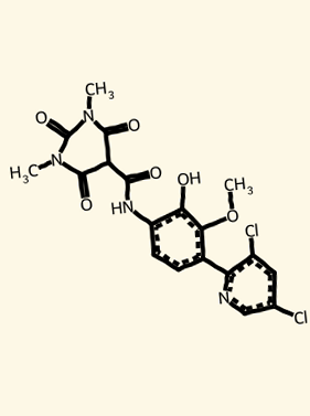 COc1c(-c2ncc(Cl)cc2Cl)ccc(NC(=O)C2C(=O)N(C)C(=O)N(C)C2=O)c1O